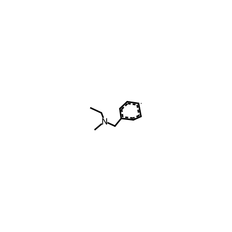 CCN(C)Cc1cc[c]cc1